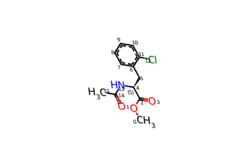 COC(=O)[C@H](Cc1ccccc1Cl)NC(C)=O